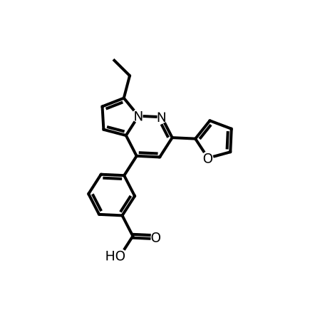 CCc1ccc2c(-c3cccc(C(=O)O)c3)cc(-c3ccco3)nn12